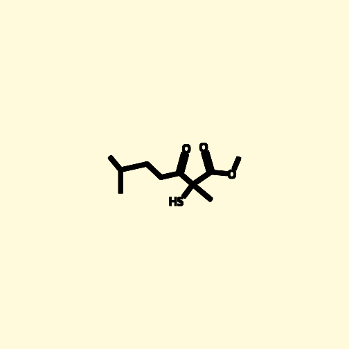 COC(=O)C(C)(S)C(=O)CCC(C)C